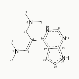 CN(C)C=C(CN(C)C)c1ncnc2[nH]ccc12